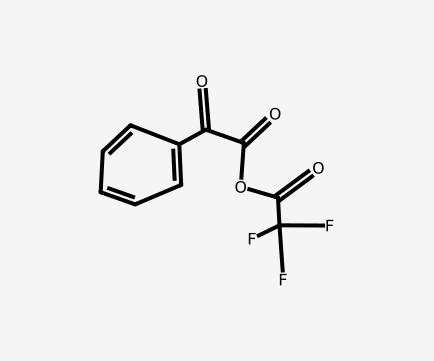 O=C(OC(=O)C(F)(F)F)C(=O)c1ccccc1